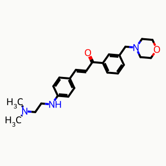 CN(C)CCNc1ccc(C=CC(=O)c2cccc(CN3CCOCC3)c2)cc1